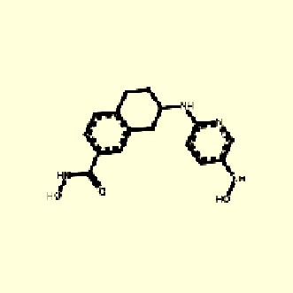 O=C(NO)c1ccc2c(c1)CC(Nc1ccc(NO)cn1)CC2